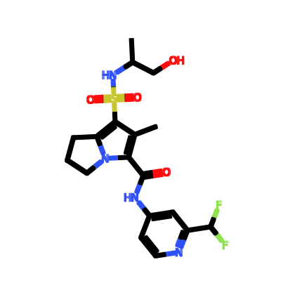 Cc1c(S(=O)(=O)NC(C)CO)c2n(c1C(=O)Nc1ccnc(C(F)F)c1)CCC2